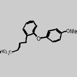 COc1ccc(Oc2ccccc2CCCC(=O)O)cc1